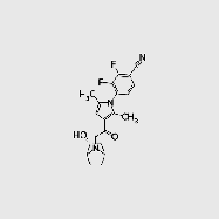 Cc1cc(C(=O)CN2C3CCC2[C@H](O)C3)c(C)n1-c1ccc(C#N)c(F)c1F